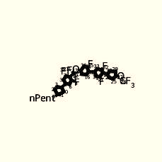 CCCCCc1ccc(-c2cc(F)c(C(F)(F)Oc3ccc(-c4cc(F)c(-c5ccc(OC(F)(F)F)cc5)c(F)c4)c(F)c3)c(F)c2)cc1